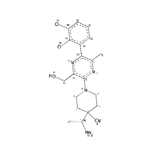 Cc1nc(N2CCC(C#N)([C@@H](C)N)CC2)c(CO)nc1-c1cccc(Cl)c1Cl